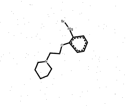 [Br][Mg][c]1ccccc1OCCN1CCCCC1